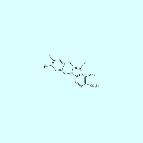 CCOC(=O)c1ncc2c(c1O)c(Br)c(Br)n2Cc1ccc(F)c(F)c1